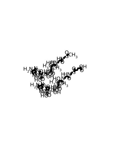 CC(=O)SCCNC(=O)CCNC(=O)[C@H](O)C(C)(C)COP(=O)(O)OP(=O)(O)OC[C@H]1O[C@@H](n2cnc3c(N)ncnc32)[C@H](O)[C@@H]1OP(=O)(O)O.CC(C)(COP(=O)(O)OP(=O)(O)OC[C@H]1O[C@@H](n2cnc3c(N)ncnc32)[C@H](O)[C@@H]1OP(=O)(O)O)[C@@H](O)C(=O)NCCC(=O)NCCSC(=O)CCC(=O)O